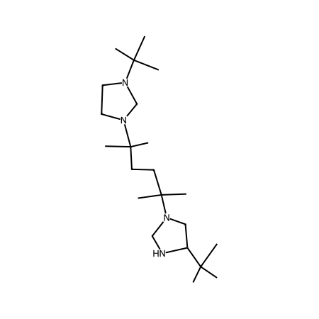 CC(C)(C)C1CN(C(C)(C)CCC(C)(C)N2CCN(C(C)(C)C)C2)CN1